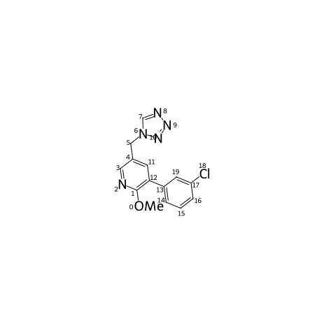 COc1ncc(Cn2cnnn2)cc1-c1cccc(Cl)c1